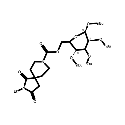 CCCCOC1[C@H](OCCCC)C(COC(=O)N2CCC3(CC2)CC(=O)N(CC)C3=O)O[C@@H](OCCCC)[C@H]1OCCCC